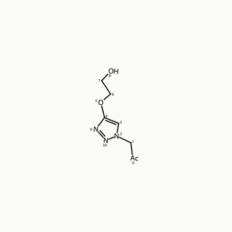 CC(=O)Cn1cc(OCCO)nn1